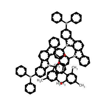 Cc1cc(C)c(B(c2cc(-n3c4ccccc4c4ccc5c6cc(B(c7ccccc7)c7ccccc7)ccc6n(-c6ccccc6)c5c43)cc(-n3c4ccccc4c4ccc5c6cc(B(c7ccccc7)c7ccccc7)ccc6n(-c6ccccc6)c5c43)c2)c2c(C)cc(C)cc2C)c(C)c1